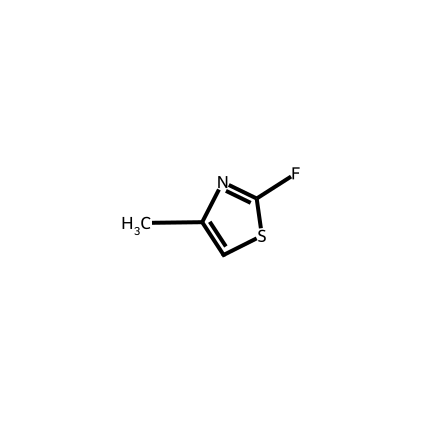 Cc1csc(F)n1